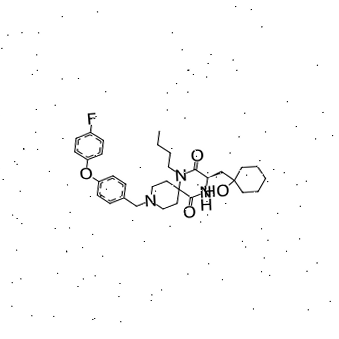 CCCCN1C(=O)[C@@H](CC2(O)CCCCC2)NC(=O)C12CCN(Cc1ccc(Oc3ccc(F)cc3)cc1)CC2